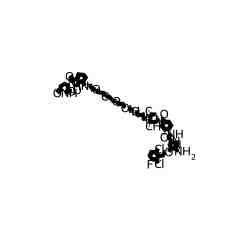 C[C@@H]1CN(C(=O)c2ccc(NC(=O)c3cc(OCCc4c(Cl)ccc(F)c4Cl)c(N)nn3)cc2)C[C@H](C)N1CCCOCCOCCOCCOCCOCCNc1cccc2c1C(=O)N([C@@H]1CCC(=O)NC1=O)C2=O